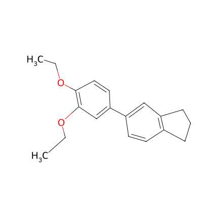 CCOc1ccc(-c2ccc3c(c2)CCC3)cc1OCC